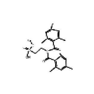 CCC(C)OP(=O)(O)CCP(C(=O)c1c(C)cc(C)cc1C)C(=O)c1c(C)cc(C)cc1C